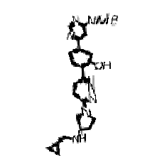 CNc1cc(-c2ccc(-c3ccc(N4CC[C@H](NCC5CC5)C4)nn3)c(O)c2)ncn1